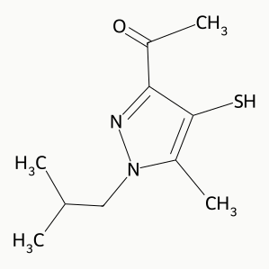 CC(=O)c1nn(CC(C)C)c(C)c1S